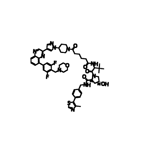 Cc1ncsc1-c1ccc(CNC(=O)[C@@H]2C[C@@H](O)CN2C(=O)C(NC(=O)CCCCC(=O)N2CCC(n3cc(-c4cnc5cccc(-c6cc(F)c(CN7CCOCC7)c(F)c6)c5n4)cn3)CC2)C(C)(C)C)cc1